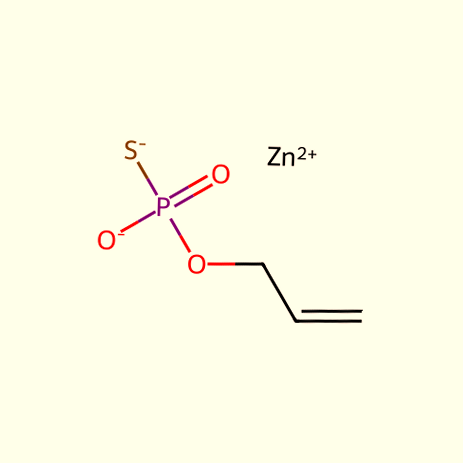 C=CCOP(=O)([O-])[S-].[Zn+2]